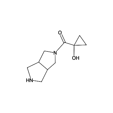 O=C(N1CC2CNCC2C1)C1(O)CC1